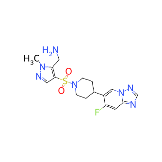 Cn1ncc(S(=O)(=O)N2CCC(c3cn4ncnc4cc3F)CC2)c1CN